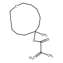 C=C(C)C(=O)OC1(C)CCCCCCCCCCC1